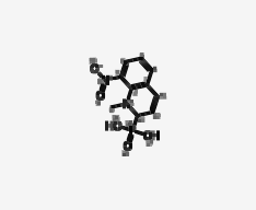 CN1c2c(cccc2[N+](=O)[O-])C=CC1P(=O)(O)O